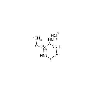 CC[C@@H]1CNCCN1.Cl.Cl